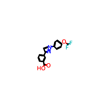 O=C(O)c1cccc(-c2ccn(-c3ccc(OC(F)F)cc3)n2)c1